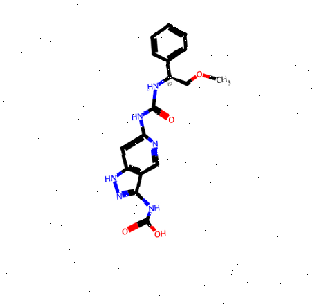 COC[C@@H](NC(=O)Nc1cc2[nH]nc(NC(=O)O)c2cn1)c1ccccc1